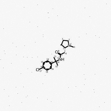 CN1CCC[C@H]1CC(=O)NC(C)(C)c1ccc(Cl)cc1